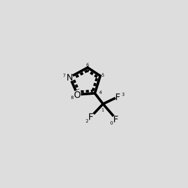 FC(F)(F)c1c[c]no1